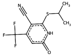 CC(C)Sc1[nH]c(=O)cc(C(F)(F)F)c1C#N